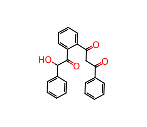 O=C(CC(=O)c1ccccc1C(=O)C(O)c1ccccc1)c1ccccc1